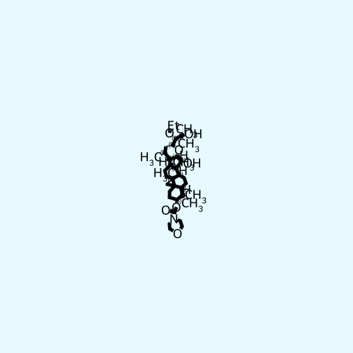 CCO[C@@H]([C@H]1C[C@@H](C)[C@@H]2[C@H](O1)[C@H](O)[C@@]1(C)[C@@H]3CC[C@H]4C(C)(C)[C@@H](OC(=O)N5CCOCC5)CCC45C[C@@]35CC[C@]21C)C(C)(C)O